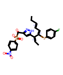 C\C=C(/C(=C\C=C\CC)Sc1ccc(F)cc1)c1cc(C(=O)S(=O)(=O)c2ccc([N+](=O)[O-])cc2)n[nH]1